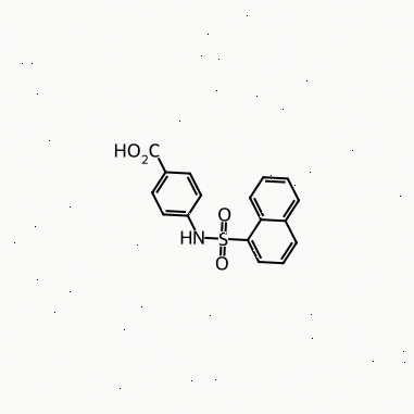 O=C(O)c1ccc(NS(=O)(=O)c2cccc3ccccc23)cc1